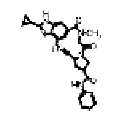 CN(CC(=O)N1CC(C(=O)Nc2ccccc2)CC1C#N)C(=O)c1cc(F)c2nc(C3CC3)[nH]c2c1